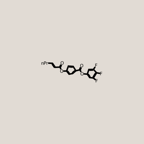 CCC/C=C/C(=O)Oc1ccc(C(=O)Oc2cc(F)c(F)c(F)c2)cc1